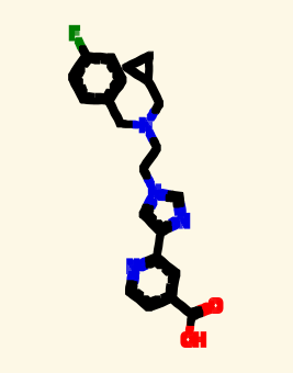 O=C(O)c1ccnc(-c2cn(CCN(Cc3ccc(F)cc3)CC3CC3)cn2)c1